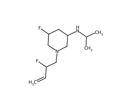 C=CC(F)CN1CC(F)CC(NC(C)C)C1